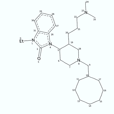 CCn1c(=O)n(C2CCN(CC3CCCCCCC3)CC2CCCN(C)C)c2ccccc21